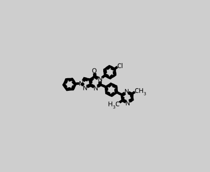 Cc1cnc(C)c(-c2ccc(-c3nc4nn(-c5ccccc5)cc4c(=O)n3-c3ccc(Cl)cc3)cc2)n1